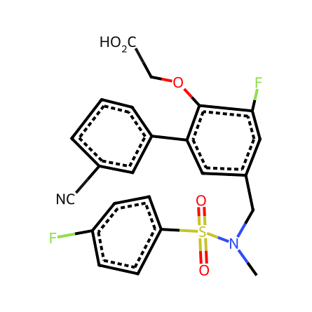 CN(Cc1cc(F)c(OCC(=O)O)c(-c2cccc(C#N)c2)c1)S(=O)(=O)c1ccc(F)cc1